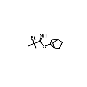 CCC(C)(C)C(=N)OC1CC2CCC1C2